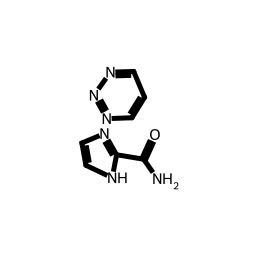 NC(=O)c1ncc[nH]1.c1cnnnc1